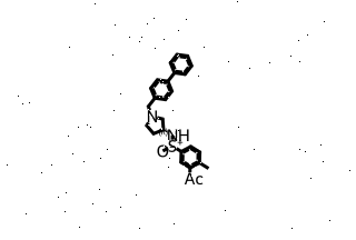 CC(=O)c1cc([S+]([O-])N[C@@H]2CCN(Cc3ccc(-c4ccccc4)cc3)C2)ccc1C